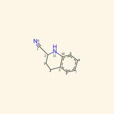 N#CC1CCc2ccccc2N1